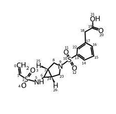 C=CS(=O)(=O)N[C@H]1[C@@H]2CN(S(=O)(=O)c3cccc(CC(=O)O)c3)C[C@@H]21